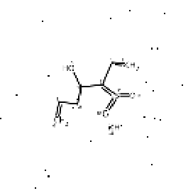 C=CCC(O)C(C=C)=S(=O)=O.[KH]